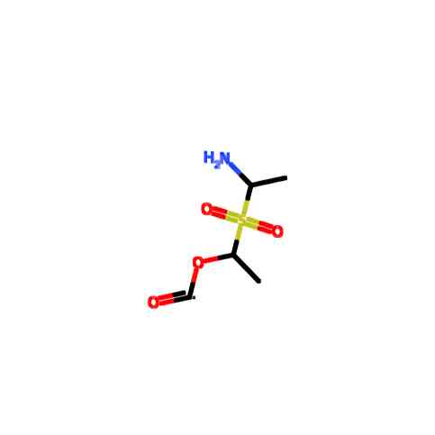 CC(N)S(=O)(=O)C(C)O[C]=O